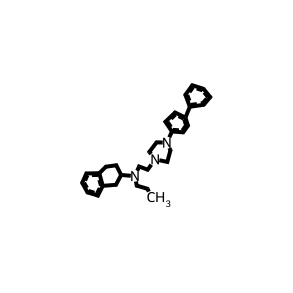 CCCN(CCN1CCN(c2ccc(-c3ccccc3)cc2)CC1)C1CCc2ccccc2C1